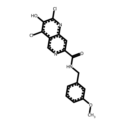 COc1cccc(CNC(=O)c2cc3nc(Cl)c(O)c(Cl)c3cn2)c1